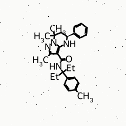 CCC(CC)(NC(=O)c1c(C)nn2c1N[C@H](c1ccccc1)CC2(C)C)c1ccc(C)cc1